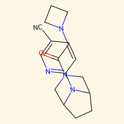 N#Cc1ccc(N2C3CCC2CN(C(=O)CN2CCC2)C3)nc1